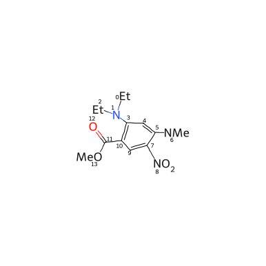 CCN(CC)c1cc(NC)c([N+](=O)[O-])cc1C(=O)OC